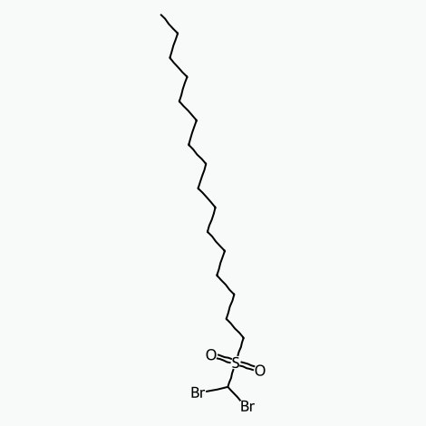 CCCCCCCCCCCCCCCCS(=O)(=O)C(Br)Br